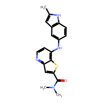 Cc1cc2cc(Nc3ccnc4cc(C(=O)N(C)C)sc34)ccc2[nH]1